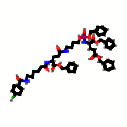 O=C(CC[C@H](NC(=O)CCCCCNC(=O)c1ccc(F)cc1)C(=O)OCc1ccccc1)NCCCCOP(=O)(N[C@@H](CCC(=O)OCc1ccccc1)C(=O)OCc1ccccc1)OCc1ccccc1